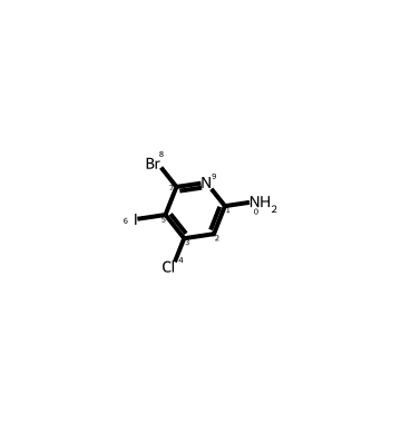 Nc1cc(Cl)c(I)c(Br)n1